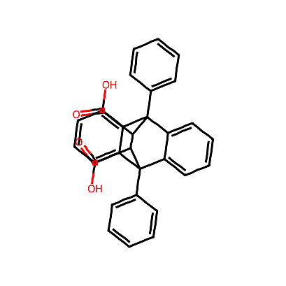 O=C(O)C1C(C(=O)O)C2(c3ccccc3)c3ccccc3C1(c1ccccc1)c1ccccc12